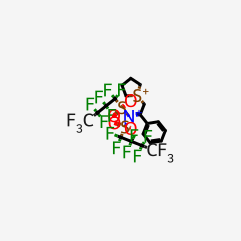 O=S(=O)([N+](=C(C[S+]1CCCC1)c1ccccc1)S(=O)(=O)C(F)(F)C(F)(F)C(F)(F)C(F)(F)F)C(F)(F)C(F)(F)C(F)(F)C(F)(F)F